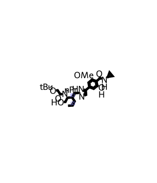 C/C=C\C(=C/c1ncc(-c2cc(O)c(C(=O)NC3CC3)c(OC)c2)[nH]1)C(CO)N(CCC)C(=O)COC(C)(C)C